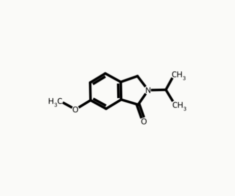 COc1ccc2c(c1)C(=O)N(C(C)C)C2